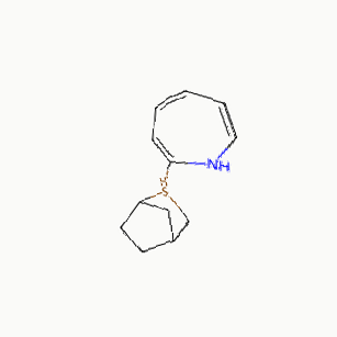 C1=CC=C([SH]2CC3CCC2C3)NC=C1